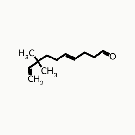 C=CC(C)(C)CCC=CCCC=O